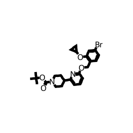 CC(C)(C)OC(=O)N1CCC(c2cccc(OCc3ccc(Br)cc3OC3CC3)n2)CC1